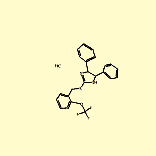 Cl.FC(F)(F)Oc1ccccc1CSC1=NC(c2ccccc2)C(c2ccccc2)N1